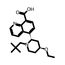 CCO[C@H]1CCN(CC(C)(C)C)[C@H](c2ccc(C(=O)O)c3ncccc23)C1